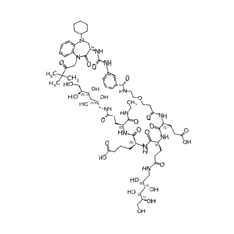 CCNC(=O)[C@H](CCC(=O)NC[C@@H](O)[C@H](O)[C@@H](O)[C@@H](O)CO)NC(=O)[C@H](CCCC(=O)O)NC(=O)[C@H](CCC(=O)NC[C@@H](O)[C@H](O)[C@@H](O)[C@@H](O)CO)NC(=O)[C@H](CCC(=O)O)NC(=O)CCOCCNC(=O)c1cccc(NC(=O)N[C@@H]2CN(C3CCCCC3)c3ccccc3N(CC(=O)C(C)(C)C)C2=O)c1